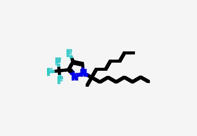 CCCCCCCC(C)(CCCCCC)n1cc(F)c(C(F)(F)F)n1